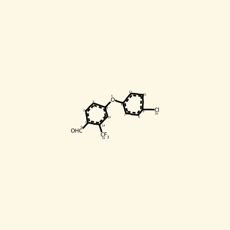 O=Cc1ccc(Oc2ccc(Cl)cc2)cc1C(F)(F)F